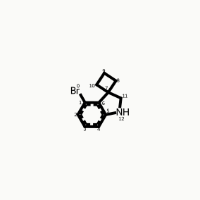 Brc1cccc2c1C1(CCC1)CN2